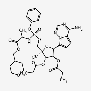 CCC(=O)O[C@@H]1[C@H](c2ccc3c(N)ncnn23)O[C@](C#N)(COP(=O)(NC(C)C(=O)OCC2CCOCC2)Oc2ccccc2)[C@H]1OC(=O)CC